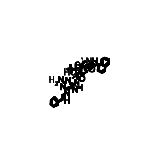 C[C@H](NP(=O)(OC[C@H]1OC(n2c(I)nc3c(NCCc4ccccc4)nc(N)nc32)[C@](C)(O)[C@@H]1O)Oc1cccc2ccccc12)C(=O)OCC(C)(C)C